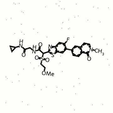 COCCS(=O)(=O)C(C(=O)NCC(=O)NC1CC1)c1nc2cc(F)c(-c3ccc4c(=O)n(C)ccc4c3)cc2s1